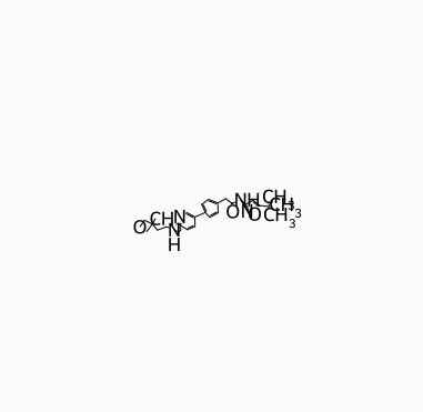 CC1(CCNc2ccc(-c3ccc(CC(=O)Nc4cc(C(C)(C)C)on4)cc3)cn2)COC1